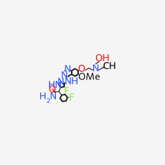 C#CCN(CCO)CCCOc1cc2ncnc(Nc3cc(C(C(N)=O)c4cccc(F)c4F)[nH]n3)c2cc1OC